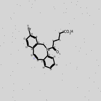 O=C(O)CCCC(=O)N1Cc2cc(Br)ccc2/C=C\c2ccccc21